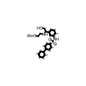 COCCNC(CO)c1cccc(NS(=O)(=O)c2ccc(-c3ccccc3)cc2)c1